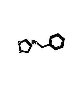 C1=CSSC1.CC(C)Cc1ccccc1